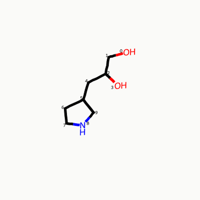 OCC(O)CC1CCNC1